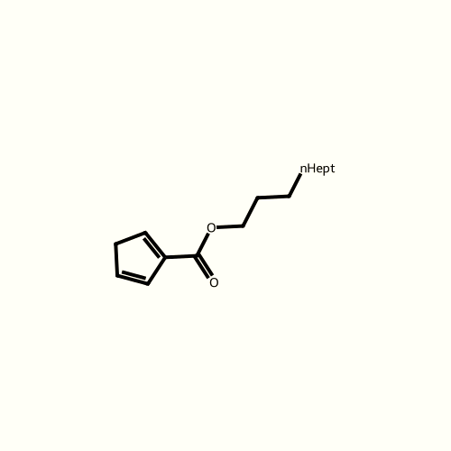 CCCCCCCCCCOC(=O)C1=CCC=C1